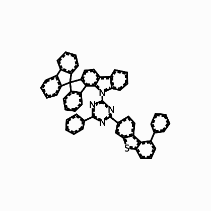 c1ccc(-c2nc(-c3ccc4c(c3)sc3cccc(-c5ccccc5)c34)nc(-n3c4ccccc4c4ccc5c(c43)-c3ccccc3C53c4ccccc4-c4ccccc43)n2)cc1